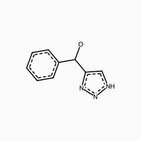 [O]C(c1ccccc1)c1c[nH]nn1